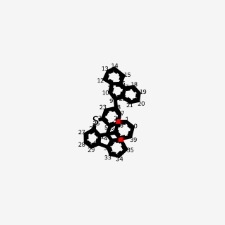 c1ccc(C23c4ccc(-c5cc6ccccc6c6ccccc56)cc4Sc4cccc(c42)-c2ccccc23)cc1